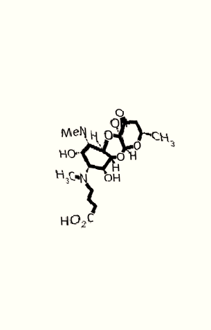 CN[C@H]1[C@@H](O)[C@@H](N(C)CCCC(=O)O)[C@H](O)[C@H]2O[C@@H]3O[C@H](C)CC(=O)[C@]3(O)O[C@H]12